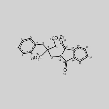 CCOC(=O)CC(Cc1ccccc1)(CN1C(=O)c2ccccc2C1=O)C(=O)O